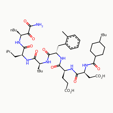 CCCC[C@H](NC(=O)[C@H](CC(C)C)NC(=O)[C@@H](NC(=O)[C@H](Cc1ccccc1C)NC(=O)[C@H](CCC(=O)O)NC(=O)[C@H](CC(=O)O)NC(=O)C1CCC(C(C)(C)C)CC1)C(C)(C)C)C(=O)C(N)=O